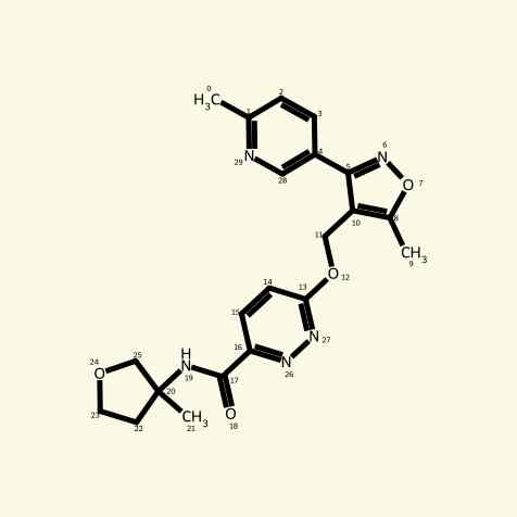 Cc1ccc(-c2noc(C)c2COc2ccc(C(=O)NC3(C)CCOC3)nn2)cn1